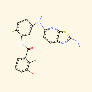 CN(c1ccc(F)c(NC(=O)c2cccc(O)c2Cl)c1)c1ccc2nc(NO)sc2n1